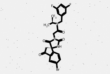 C[C@H](N(Cc1cc(F)cc(F)c1)C(=O)CN1C(=O)N[C@]2(CC(=O)c3cc(Br)ccc32)C1=O)C(F)(F)F